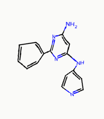 Nc1cc(Nc2ccncc2)nc(-c2ccccc2)n1